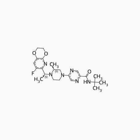 C[C@H]1CN(c2cnc(C(=O)NC(C)(C)C)cn2)CCN1[C@@H](C)c1nc2c(cc1F)OCCO2